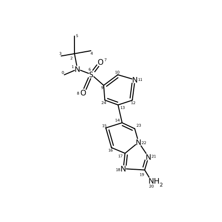 CN(C(C)(C)C)S(=O)(=O)c1cncc(-c2ccc3nc(N)nn3c2)c1